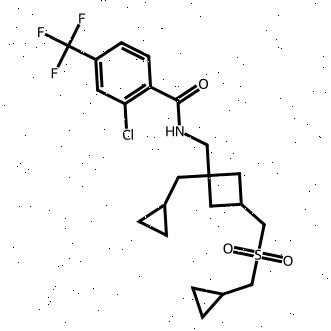 O=C(NCC1(CC2CC2)CC(CS(=O)(=O)CC2CC2)C1)c1ccc(C(F)(F)F)cc1Cl